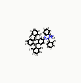 Cc1ccccc1-c1n(-c2ccc3c(c2)B(c2c(C)cccc2C)c2ccccc2B3c2c(C)cccc2C)c2ccccc2[n+]1C